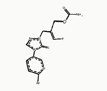 NC(=O)OCC(=CF)Cn1ncn(-c2ccc(Br)nc2)c1=O